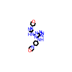 Cn1nnc2nc(Nc3cnn(C4CCOCC4)c3)nc(N[C@H]3CC[C@H](N4CCOCC4)CC3)c21